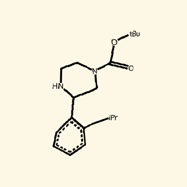 CC(C)c1ccccc1C1CN(C(=O)OC(C)(C)C)CCN1